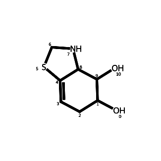 OC1CC=C2SCNC2C1O